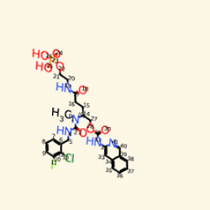 CN(C(=O)NCc1cccc(F)c1Cl)[C@@H](CCC(=O)NCCOP(=O)(O)O)COC(=O)Nc1cc2ccccc2cn1